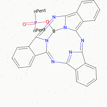 CCCCCP(=O)(CCCCC)OB1n2c3c4ccccc4c2/N=C2N=C(/N=c4/c5ccccc5c(n41)=N3)c1ccccc1\2